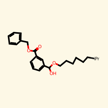 CC(C)CCCCCCOC(O)c1cccc(C(=O)OCc2ccccc2)c1